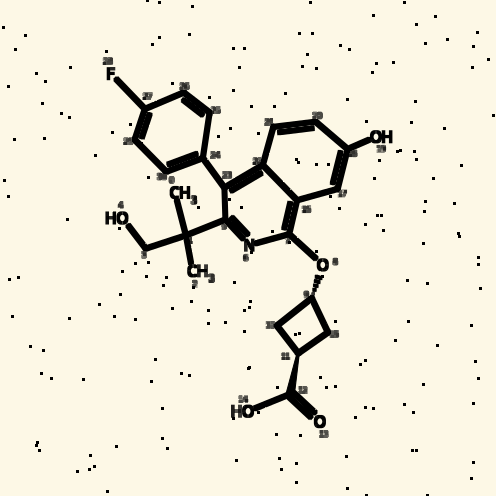 CC(C)(CO)c1nc(O[C@H]2C[C@H](C(=O)O)C2)c2cc(O)ccc2c1-c1ccc(F)cc1